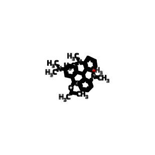 CC(C)OC(=O)c1cc(N(C)C)ccc1C(c1ccccc1N(C)C)c1ccccc1N(C)C